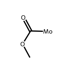 CO[C](=O)[Mo]